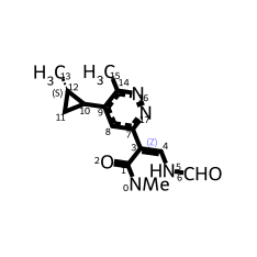 CNC(=O)/C(=C\NC=O)c1cc(C2C[C@@H]2C)c(C)nn1